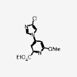 CCOC(=O)c1cc(-n2cnc(Cl)c2)cc(OC)n1